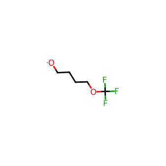 [O]CCCCOC(F)(F)F